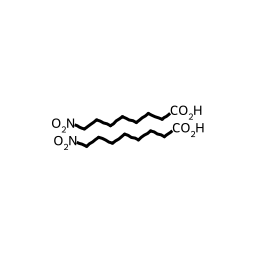 O=C(O)CCCCCCC[N+](=O)[O-].O=C(O)CCCCCCC[N+](=O)[O-]